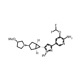 CO[C@@H]1CCN([C@H]2C[C@@H]3[C@H](C2)[C@H]3c2cc(-c3cnc(N)c(OC(F)F)c3)nn2C(C)C)C1